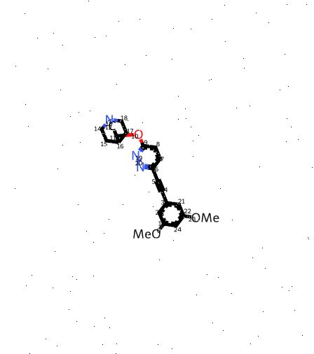 COc1cc(C#Cc2ccc(OC3CN4CCC3CC4)nn2)cc(OC)c1